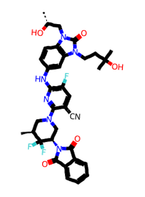 C[C@@H](O)Cn1c(=O)n(CCC(C)(C)O)c2cc(Nc3nc(N4C[C@H](C)C(F)(F)[C@H](N5C(=O)c6ccccc6C5=O)C4)c(C#N)cc3F)ccc21